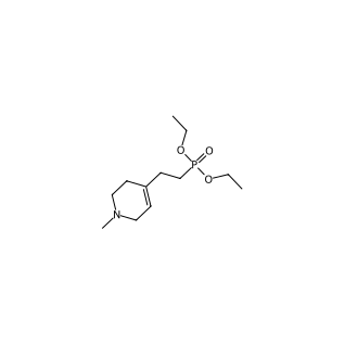 CCOP(=O)(CCC1=CCN(C)CC1)OCC